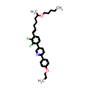 C=CCOc1ccc(-c2ccc(-c3ccc(/C=C/CCCC(C)OCCCCC)c(F)c3F)cn2)cc1